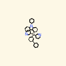 C1=Cc2c(c3c(n2-c2ccccc2)=CCCC=3[Si](C2=CCCC(c3ccccc3)=C2)(c2cccnc2)c2cccnc2)CC1